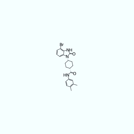 Cc1ccc(NC(=O)[C@H]2CC[C@@H](n3c(=O)[nH]c4c(Br)cccc43)CC2)cc1C